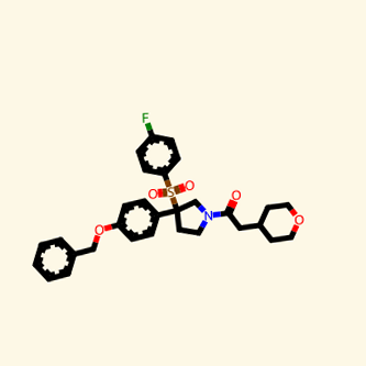 O=C(CC1CCOCC1)N1CCC(c2ccc(OCc3ccccc3)cc2)(S(=O)(=O)c2ccc(F)cc2)C1